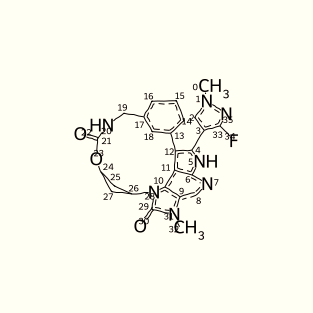 Cn1cc(-c2[nH]c3ncc4c5c3c2-c2cccc(c2)CNC(=O)OC2CC(C2)n5c(=O)n4C)c(F)n1